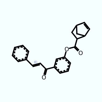 O=C(/C=C/c1ccccc1)c1cccc(OC(=O)C2CC3C=CC2C3)c1